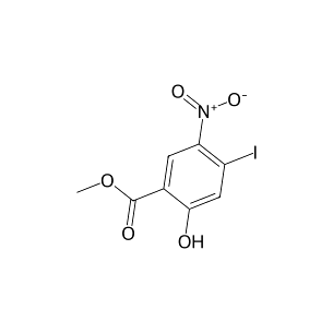 COC(=O)c1cc([N+](=O)[O-])c(I)cc1O